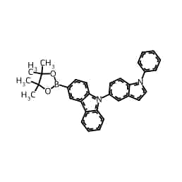 CC1(C)OB(c2ccc3c(c2)c2ccccc2n3-c2ccc3c(ccn3-c3ccccc3)c2)OC1(C)C